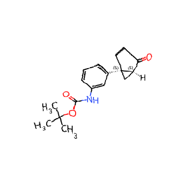 CC(C)(C)OC(=O)Nc1cccc([C@]23CCC(=O)[C@H]2C3)c1